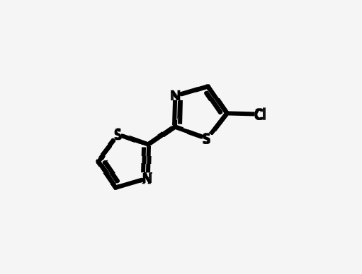 Clc1cnc(-c2nccs2)s1